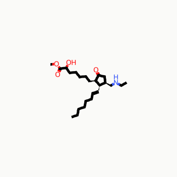 CCCCCCC=C[C@H]1[C@H](CNCC)CC(=O)[C@@H]1CCCCCC(O)C(=O)OC